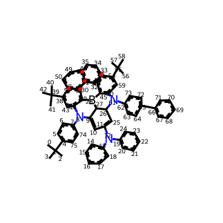 CC(C)(C)c1ccc(N2C3=CC(N(c4ccccc4)c4ccccc4)=CC4C3B(c3c(-c5ccccc5)cc(C(C)(C)C)cc32)c2c(-c3ccccc3)cc(C(C)(C)C)cc2N4c2ccc(-c3ccccc3)cc2)cc1